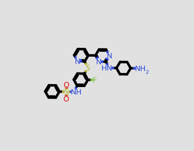 NC1CCC(Nc2nccc(-c3cccnc3Sc3ccc(NS(=O)(=O)c4ccccc4)cc3F)n2)CC1